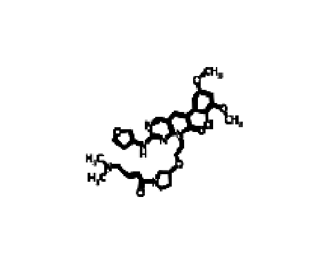 COc1cc(OC)c(Cl)c(-c2cc3cnc(NC4CCOC4)nc3n(CCOC3CCN(C(=O)/C=C/CN(C)C)C3)c2=O)c1